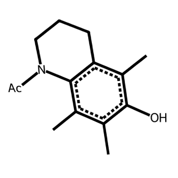 CC(=O)N1CCCc2c(C)c(O)c(C)c(C)c21